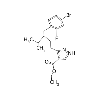 CCOC(=O)c1c[nH]nc1CCC(Cc1ccc(Br)cc1F)C(C)C